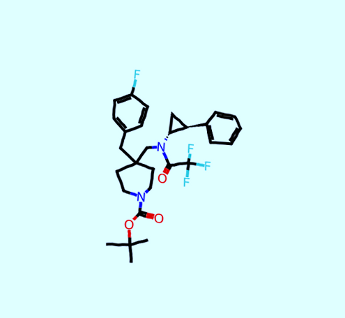 CC(C)(C)OC(=O)N1CCC(Cc2ccc(F)cc2)(CN(C(=O)C(F)(F)F)[C@@H]2C[C@H]2c2ccccc2)CC1